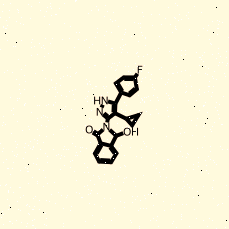 O=C1c2ccccc2C(O)N1c1n[nH]c(-c2ccc(F)cc2)c1C1CC1